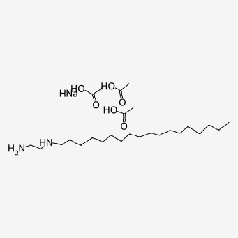 CC(=O)O.CC(=O)O.CC(=O)O.CCCCCCCCCCCCCCCCCCNCCN.[NaH]